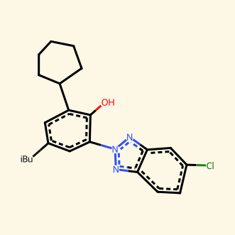 CCC(C)c1cc(C2CCCCC2)c(O)c(-n2nc3ccc(Cl)cc3n2)c1